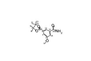 COc1cc(B2OC(C)(C)C(C)(C)O2)cc(C(N)=O)c1